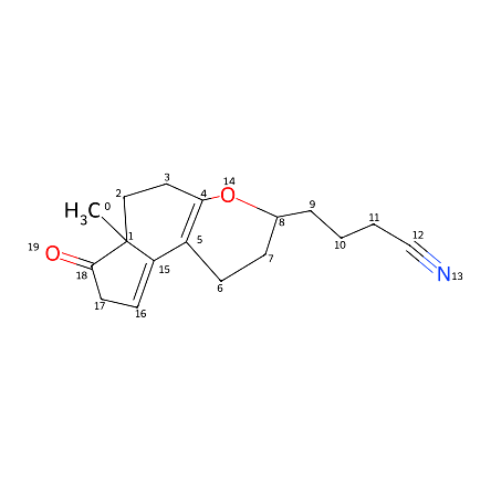 CC12CCC3=C(CCC(CCCC#N)O3)C1=CCC2=O